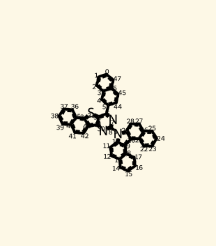 c1ccc2cc(-c3nc(-n4c5ccc6ccccc6c5c5c6ccccc6ccc54)nc4c3sc3c5ccccc5ccc43)ccc2c1